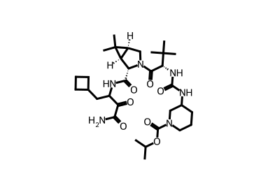 CC(C)OC(=O)N1CCCC(NC(=O)N[C@H](C(=O)N2C[C@H]3[C@@H]([C@H]2C(=O)NC(CC2CCC2)C(=O)C(N)=O)C3(C)C)C(C)(C)C)C1